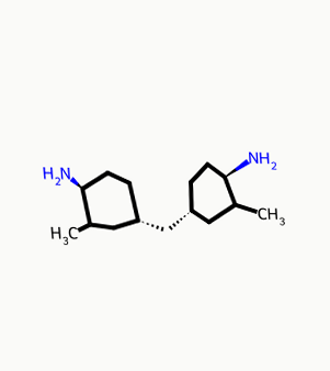 CC1C[C@H](C[C@H]2CC[C@H](N)C(C)C2)CC[C@H]1N